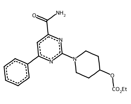 CCOC(=O)OC1CCN(c2nc(C(N)=O)cc(-c3ccccc3)n2)CC1